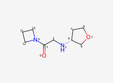 O=C(CN[C@@H]1CCOC1)N1CCC1